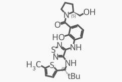 Cc1ccc([C@H](Nc2nsnc2Nc2cccc(C(=O)N3CCC[C@H]3CO)c2O)C(C)(C)C)s1